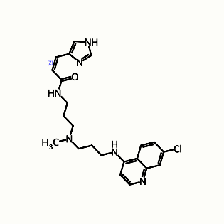 CN(CCCNC(=O)/C=C\c1c[nH]cn1)CCCNc1ccnc2cc(Cl)ccc12